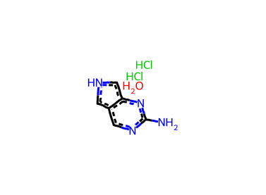 Cl.Cl.Nc1ncc2c[nH]cc2n1.O